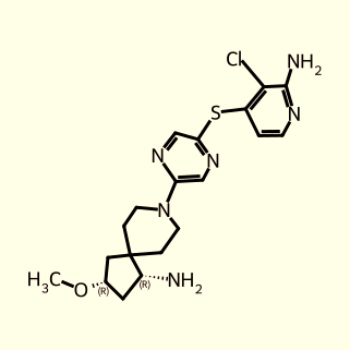 CO[C@H]1C[C@@H](N)C2(CCN(c3cnc(Sc4ccnc(N)c4Cl)cn3)CC2)C1